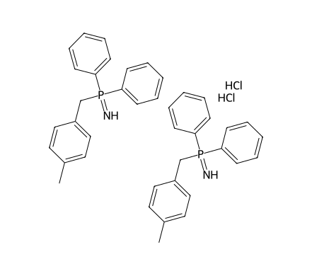 Cc1ccc(CP(=N)(c2ccccc2)c2ccccc2)cc1.Cc1ccc(CP(=N)(c2ccccc2)c2ccccc2)cc1.Cl.Cl